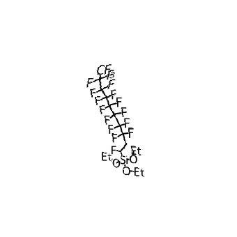 CCO[Si](OCC)(OCC)C(F)CC(F)(F)C(F)(F)C(F)(F)C(F)(F)C(F)(F)C(F)(F)C(F)(F)C(F)(F)F